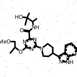 COCC(C)Oc1nc(C(=O)NC(C)C(C)(C)O)nc(N2CCC(c3n[nH]c4ncccc34)CC2)n1